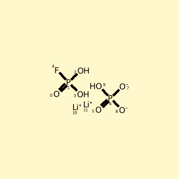 O=P(O)(O)F.O=P([O-])([O-])O.[Li+].[Li+]